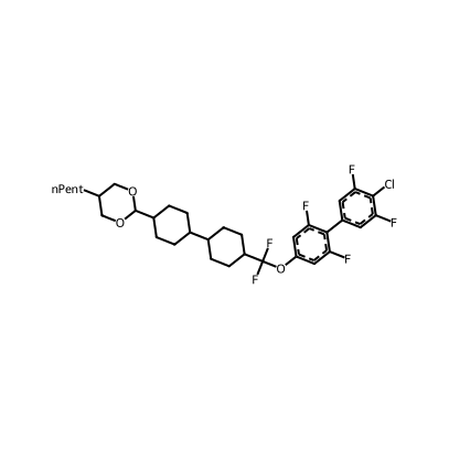 CCCCCC1COC(C2CCC(C3CCC(C(F)(F)Oc4cc(F)c(-c5cc(F)c(Cl)c(F)c5)c(F)c4)CC3)CC2)OC1